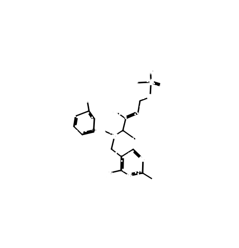 Cc1ncc(CN(C=O)C(C)C(S)=CCOP(=O)(O)O)c(N)n1.O=C(O)c1ccccc1